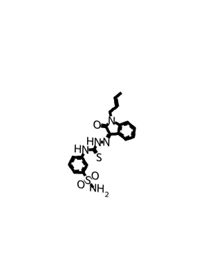 C/C=C/CN1C(=O)/C(=N\NC(=S)Nc2cccc(S(N)(=O)=O)c2)c2ccccc21